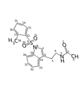 CC(=O)NCCc1cn(S(=O)(=O)c2ccccc2C)c2ccccc12